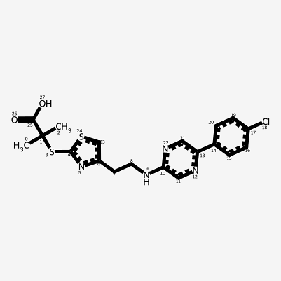 CC(C)(Sc1nc(CCNc2cnc(-c3ccc(Cl)cc3)cn2)cs1)C(=O)O